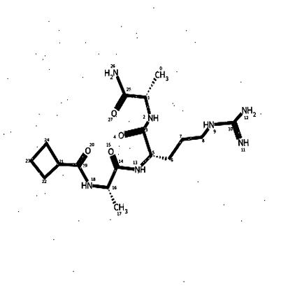 C[C@H](NC(=O)[C@H](CCCNC(=N)N)NC(=O)[C@H](C)NC(=O)C1CCC1)C(N)=O